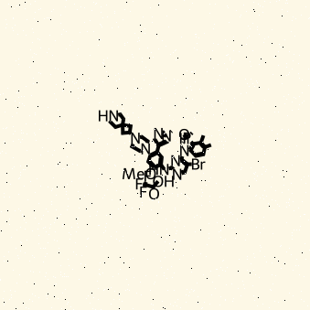 COc1cc(N2CCN(C3CC4(CCNCC4)C3)CC2)c(-c2cnn(C)c2)cc1Nc1ncc(Br)c(Nc2ccc(C)c(C)c2P(C)(C)=O)n1.O=C(O)C(F)(F)F